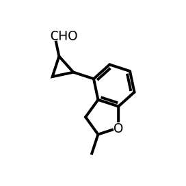 CC1Cc2c(cccc2C2CC2C=O)O1